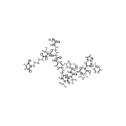 CO[C@H]([C@@H](C)C(=O)N[C@@H](Cc1ccccc1)c1nccs1)[C@@H]1CCCN1C(=O)C[C@@H](OC)[C@H](C1CCCC1)N(C)C(=O)[C@@H](NC(=O)[C@H](C(C)C)N(C)C(=O)OCc1ccc(NC(=O)C(CCCNC(N)=O)NC(=O)[C@@H](NC(=O)CCCCCN2C(=O)C=CC2=O)C(C)C)cc1)C(C)C